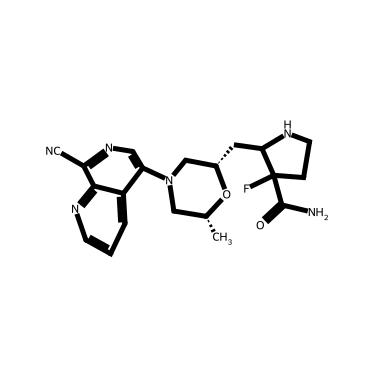 C[C@@H]1CN(c2cnc(C#N)c3ncccc23)C[C@H](CC2NCCC2(F)C(N)=O)O1